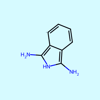 Nc1[nH]c(N)c2ccc[c]c12